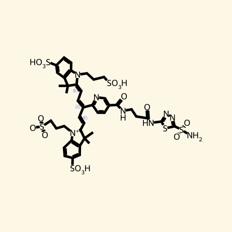 CC1(C)C(/C=C/C(=C/C=C2/N(CCCS(=O)(=O)O)c3ccc(S(=O)(=O)O)cc3C2(C)C)c2ccc(C(=O)NCCC(=O)Nc3nnc(S(N)(=O)=O)s3)cn2)=[N+](CCCS(=O)(=O)[O-])c2ccc(S(=O)(=O)O)cc21